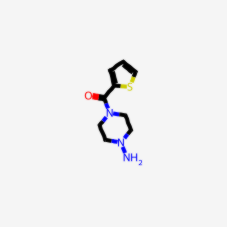 NN1CCN(C(=O)c2cccs2)CC1